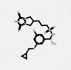 C[C@@H](NS(=O)(=O)CCCC1Cn2c(=O)[nH]c(=O)n2C1)c1cc(F)cc(OCC2CC2)c1